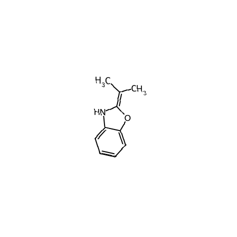 CC(C)=C1Nc2ccccc2O1